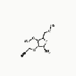 B[C@@H]1O[C@H](COC(C)(C)C)C(OC(C)(C)C)[C@@H]1OCC#C